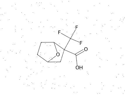 O=C(O)C1(C(F)(F)F)CC2CCC1O2